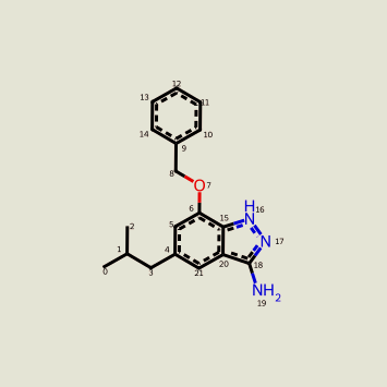 CC(C)Cc1cc(OCc2ccccc2)c2[nH]nc(N)c2c1